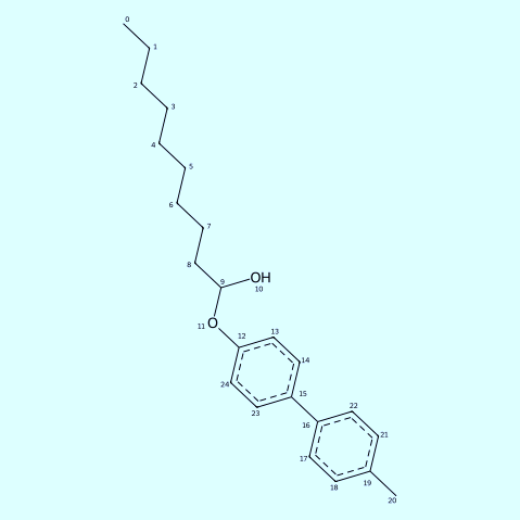 CCCCCCCCCC(O)Oc1ccc(-c2ccc(C)cc2)cc1